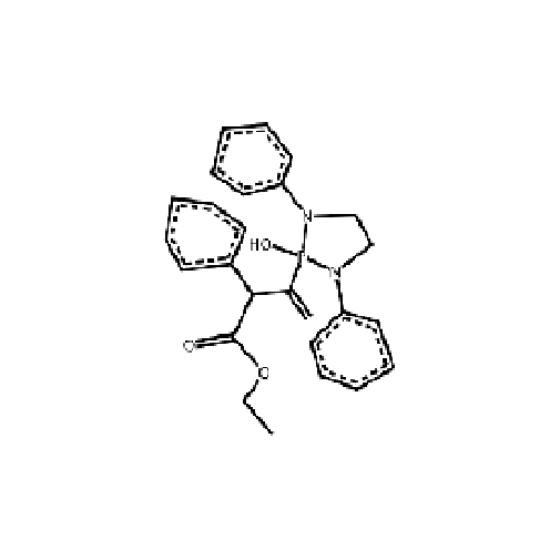 C=C(C(C(=O)OCC)c1ccccc1)[P]1(O)N(c2ccccc2)CCN1c1ccccc1